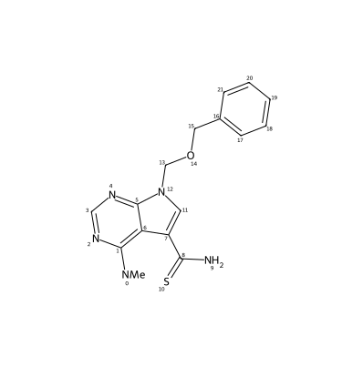 CNc1ncnc2c1c(C(N)=S)cn2COCc1ccccc1